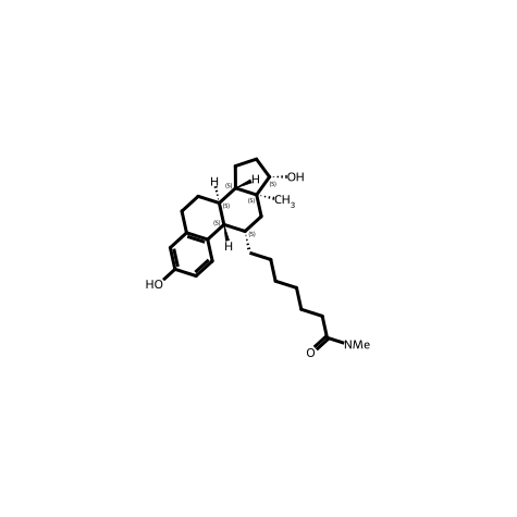 CNC(=O)CCCCCC[C@H]1C[C@]2(C)[C@@H](O)CC[C@H]2[C@@H]2CCc3cc(O)ccc3[C@@H]12